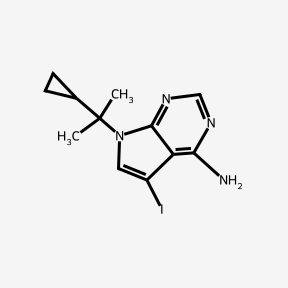 CC(C)(C1CC1)n1cc(I)c2c(N)ncnc21